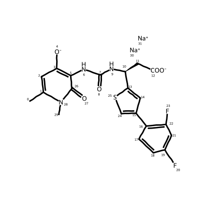 Cc1cc([O-])c(NC(=O)N[C@@H](CC(=O)[O-])c2cc(-c3ccc(F)cc3F)cs2)c(=O)n1C.[Na+].[Na+]